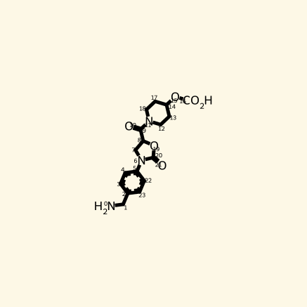 NCc1ccc(N2CC(C(=O)N3CCC(OC(=O)O)CC3)OC2=O)cc1